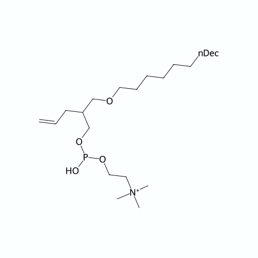 C=CCC(COCCCCCCCCCCCCCCCC)COP(O)OCC[N+](C)(C)C